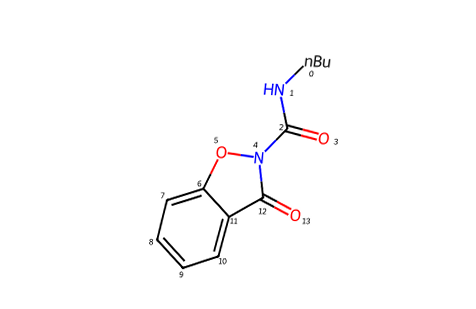 CCCCNC(=O)n1oc2ccccc2c1=O